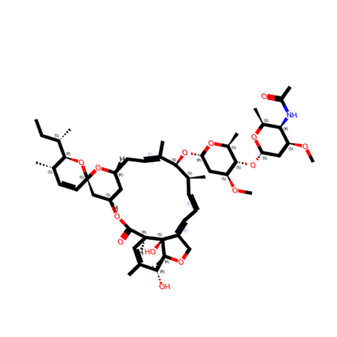 CC[C@H](C)[C@H]1O[C@]2(C=C[C@@H]1C)C[C@@H]1C[C@@H](C/C=C(\C)[C@@H](O[C@H]3C[C@H](OC)[C@@H](O[C@H]4C[C@H](OC)[C@H](NC(C)=O)[C@H](C)O4)[C@H](C)O3)[C@@H](C)/C=C/C=C3\CO[C@@H]4[C@H](O)C(C)=C[C@@H](C(=O)O1)[C@]34O)O2